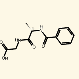 C[C@H](NC(=O)c1ccccc1)C(=O)NCC(=O)O